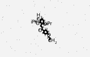 C=CCOc1ccc(C(=O)/C=C/c2c(OC(C)C)ccc(C)c2OC(C)C)cc1